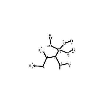 CCNC(C(C)CN)[Si](OCC)(OCC)OCC